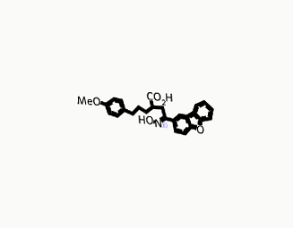 COc1ccc(CCCC(C/C(=N\O)c2ccc3oc4ccccc4c3c2)C(=O)O)cc1